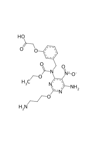 CCOC(=O)N(Cc1cccc(OCC(=O)O)c1)c1nc(OCCCN)nc(N)c1[N+](=O)[O-]